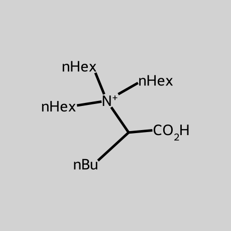 CCCCCC[N+](CCCCCC)(CCCCCC)C(CCCC)C(=O)O